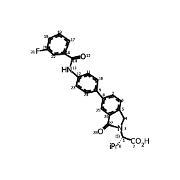 CC(C)[C@@H](C(=O)O)N1Cc2ccc(-c3ccc(NC(=O)c4cccc(F)c4)cc3)cc2C1=O